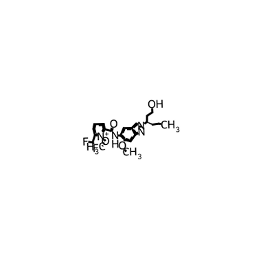 CCC[C@H](CCO)n1cc2cc(NC(=O)c3cccc(C(F)F)[n+]3OC)c(OC)cc2n1